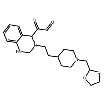 O=CC(=O)C1c2ccccc2NCN1CCC1CCN(CC2OCCO2)CC1